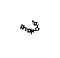 Cl.Fc1ccc(CC2CCN(CCOc3ccc(OCc4ccccc4)cc3)C2)cc1